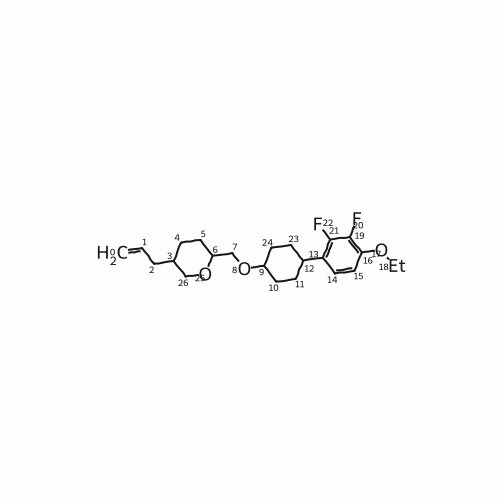 C=CCC1CCC(COC2CCC(c3ccc(OCC)c(F)c3F)CC2)OC1